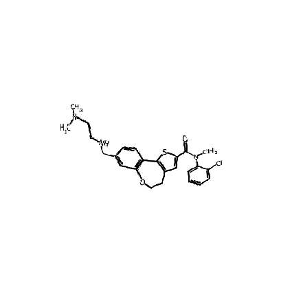 CN(C)CCNCc1ccc2c(c1)OCCc1cc(C(=O)N(C)c3ccccc3Cl)sc1-2